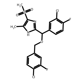 Cc1[nH]c(C(OCc2ccc(Cl)c(F)c2)c2ccc(F)c(Cl)c2)nc1S(C)(=O)=O